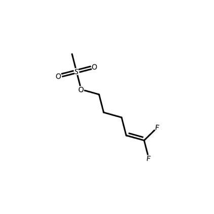 CS(=O)(=O)OCCCC=C(F)F